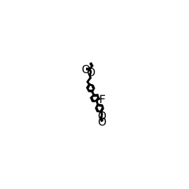 C=CC(=O)OCCCc1ccc(-c2ccc(-c3ccc(OC=O)cc3)c(F)c2)cc1